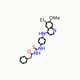 CCc1cc2c(Nc3ccc(NC(=S)NC(=O)Cc4ccccc4)cc3)ccnc2cc1OC